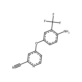 N#Cc1cc(Oc2ccc(N)c(C(F)(F)F)c2)ccn1